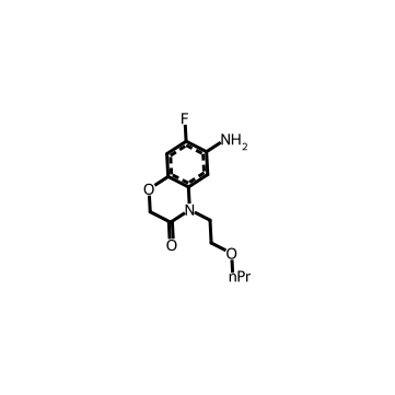 CCCOCCN1C(=O)COc2cc(F)c(N)cc21